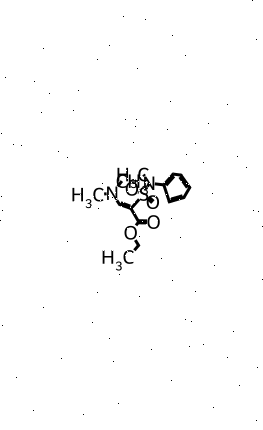 CCOC(=O)/C(=C/N(C)C)S(=O)(=O)N(C)c1ccccc1